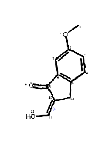 COc1ccc2c(c1)C(=O)/C(=C\O)C2